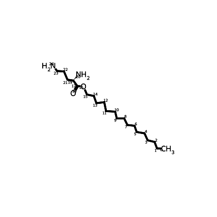 CCCCCCCCCCCCCCCCOC(=O)[C@@H](N)CCCN